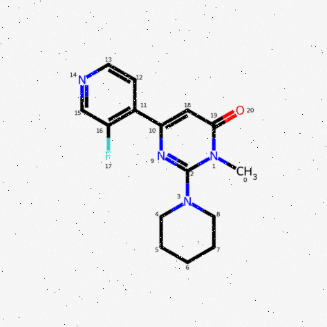 Cn1c(N2CCCCC2)nc(-c2ccncc2F)cc1=O